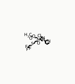 CC(=O)OCCN(C(=O)CCSCCC(F)(F)F)c1cn(-c2cccnc2)nc1Cl